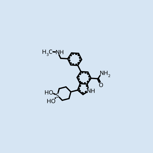 CNCc1cccc(-c2cc(C(N)=O)c3[nH]cc(C4CCS(O)(O)CC4)c3c2)c1